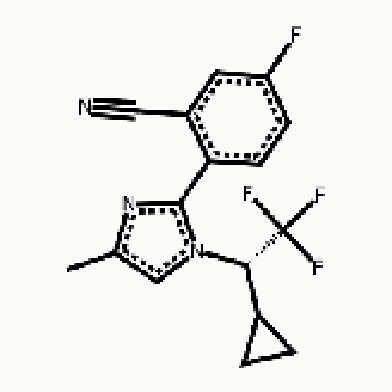 Cc1cn([C@@H](C2CC2)C(F)(F)F)c(-c2ccc(F)cc2C#N)n1